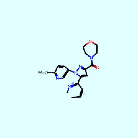 C/C=C\C(=N/C)c1cc(C(=O)N2CCOCC2)nn1-c1ccc(OC)nc1